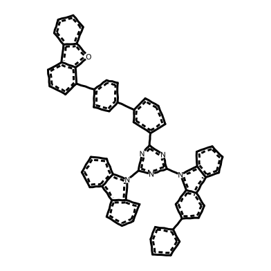 c1ccc(-c2ccc3c4ccccc4n(-c4nc(-c5cccc(-c6ccc(-c7cccc8c7oc7ccccc78)cc6)c5)nc(-n5c6ccccc6c6ccccc65)n4)c3c2)cc1